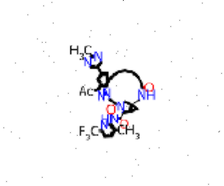 CC(=O)c1nn2c3c(cc(-c4cnc(C)nc4)cc13)CCCCCCC(=O)NC[C@@]13CC1[C@@H](C(=O)Nc1nc(C(F)(F)F)ccc1C)N(C3)C(=O)C2